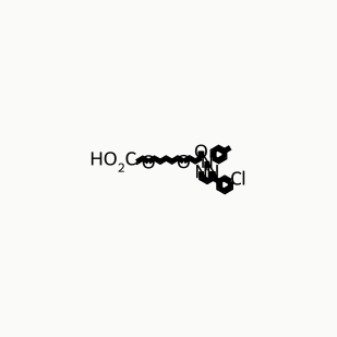 Cc1ccc(N(C(=O)CCOCCCCCOCCC(=O)O)c2nccc(-c3cccc(Cl)c3)n2)cc1